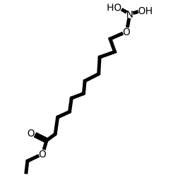 CCOC(=O)CCCCCCCCCCON(O)O